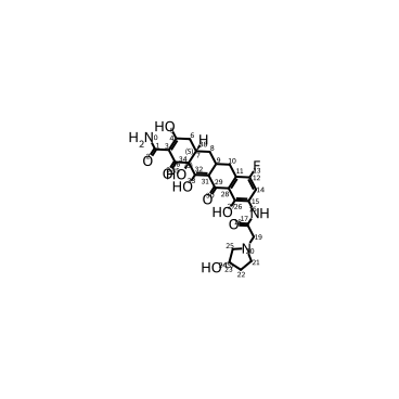 NC(=O)C1=C(O)C[C@@H]2CC3Cc4c(F)cc(NC(=O)CN5CC[C@H](O)C5)c(O)c4C(=O)C3=C(O)[C@]2(O)C1=O